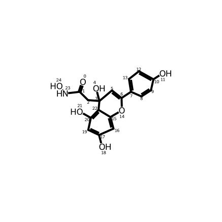 O=C(CC1(O)C=C(c2ccc(O)cc2)Oc2cc(O)cc(O)c21)NO